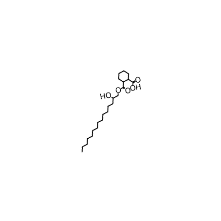 CCCCCCCCCCCCCC(O)COC(=O)C1CCCCC1C(=O)O